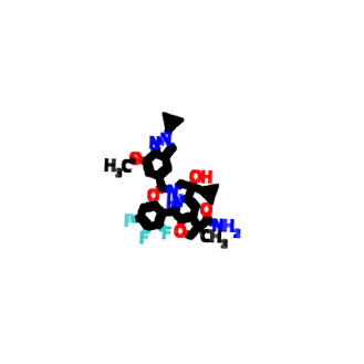 COc1cc(C(=O)NCC(O)(c2cc3c(c(-c4ccc(F)c(F)c4F)n2)OC[C@]3(C)C(N)=O)C2CC2)cc2cn(C3CC3)nc12